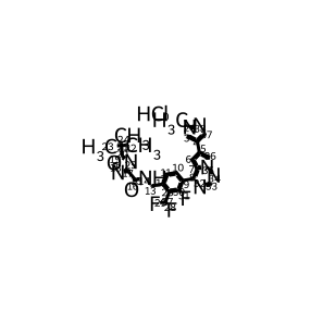 Cl.Cn1cc(-c2cc3c(-c4ccc(CNC(=O)c5noc(C(C)(C)C)n5)c(C(F)F)c4F)ncnn3c2)cn1